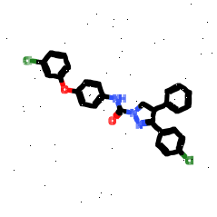 O=C(Nc1ccc(Oc2cccc(Cl)c2)cc1)N1CC(c2ccccc2)C(c2ccc(Cl)cc2)=N1